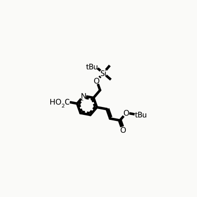 CC(C)(C)OC(=O)C=Cc1ccc(C(=O)O)nc1CO[Si](C)(C)C(C)(C)C